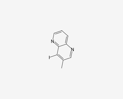 Cc1cnc2cccnc2c1I